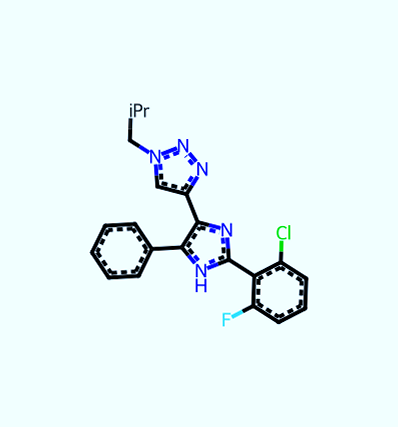 CC(C)Cn1cc(-c2nc(-c3c(F)cccc3Cl)[nH]c2-c2ccccc2)nn1